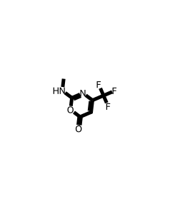 CNc1nc(C(F)(F)F)cc(=O)o1